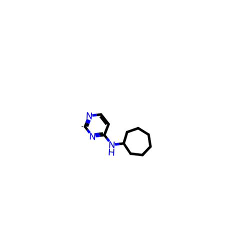 [c]1nccc(NC2CCCCCC2)n1